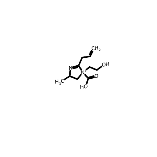 C=CCC1=NC(C)C[N+]1(CCO)C(=O)O